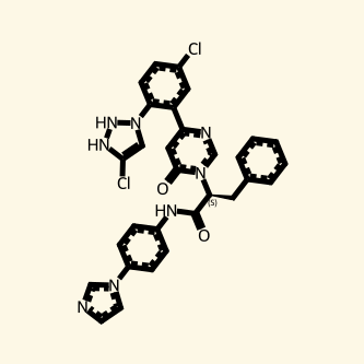 O=C(Nc1ccc(-n2ccnc2)cc1)[C@H](Cc1ccccc1)n1cnc(-c2cc(Cl)ccc2N2C=C(Cl)NN2)cc1=O